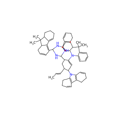 C/C=C/C1CC(C2NC(C3=C4C5=CCCCC5C(C)(C)C4CC=C3)NC(C3C=CCCC3)N2)C(N2c3ccccc3C(C)(C)C3CCC=CC32)=CC1n1c2c(c3c1CCC=C3)CCC=C2